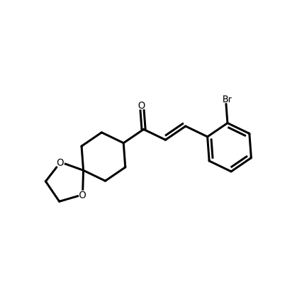 O=C(/C=C/c1ccccc1Br)C1CCC2(CC1)OCCO2